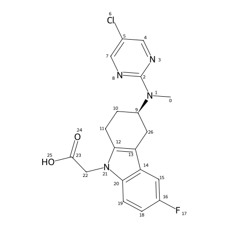 CN(c1ncc(Cl)cn1)[C@@H]1CCc2c(c3cc(F)ccc3n2CC(=O)O)C1